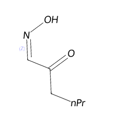 CCCCC(=O)/C=N\O